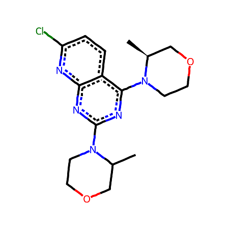 CC1COCCN1c1nc(N2CCOC[C@@H]2C)c2ccc(Cl)nc2n1